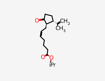 C=C(C)[C@H]1CCC(=O)[C@@H]1C/C=C\CCCC(=O)OC(C)C